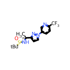 C[C@H](N[S+]([O-])C(C)(C)C)c1ccn(-c2ccc(C(F)(F)F)nc2)n1